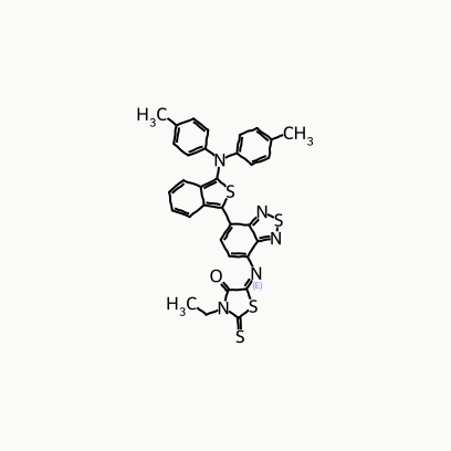 CCN1C(=O)/C(=N\c2ccc(-c3sc(N(c4ccc(C)cc4)c4ccc(C)cc4)c4ccccc34)c3nsnc23)SC1=S